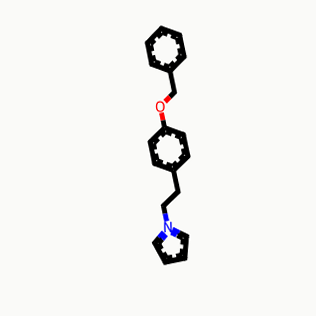 c1ccc(COc2ccc(CCn3cccc3)cc2)cc1